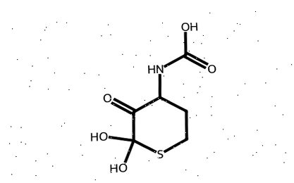 O=C(O)NC1CCSC(O)(O)C1=O